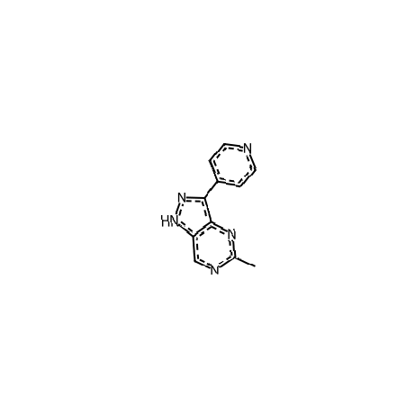 Cc1ncc2[nH]nc(-c3ccncc3)c2n1